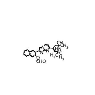 CC1(C)C=C(c2ccn3cc(-c4cc5ccccc5cc4OC=O)nc3n2)CC(C)(C)N1